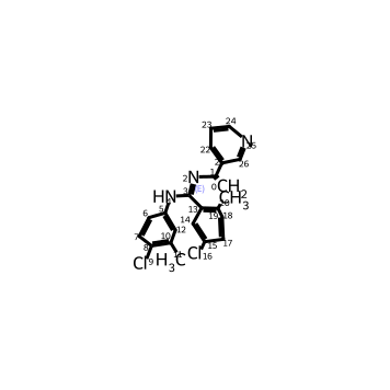 C=C(/N=C(/Nc1ccc(Cl)c(C)c1)c1cc(Cl)ccc1C)c1cccnc1